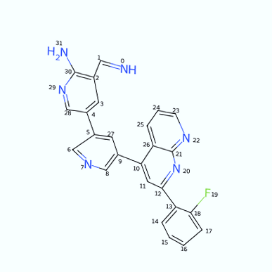 N=Cc1cc(-c2cncc(-c3cc(-c4ccccc4F)nc4ncccc34)c2)cnc1N